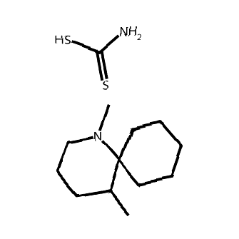 CC1CCCN(C)C12CCCCC2.NC(=S)S